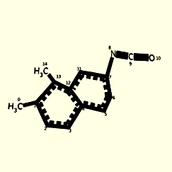 Cc1ccc2ccc(N=C=O)cc2c1C